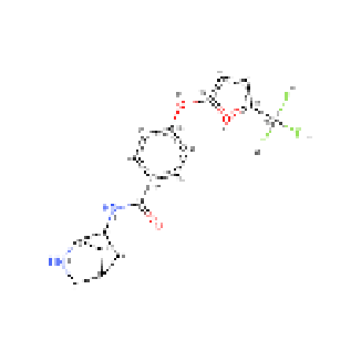 O=C(NC1CC2CNC1C2)c1ccc(Oc2ccc(C(F)(F)F)o2)cc1